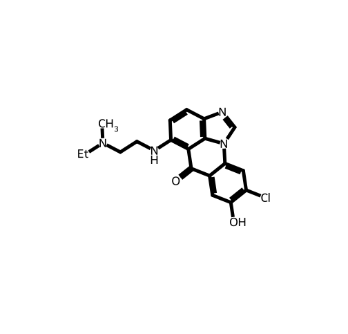 CCN(C)CCNc1ccc2ncn3c4cc(Cl)c(O)cc4c(=O)c1c23